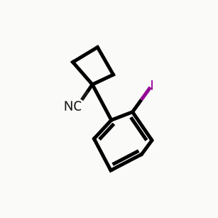 N#CC1(c2ccccc2I)CCC1